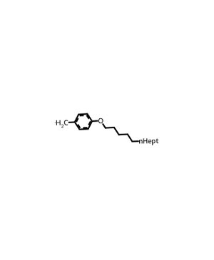 [CH2]c1ccc(OCCCCCCCCCCCC)cc1